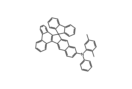 Cc1ccc(C)c(N(c2ccccc2)c2ccc3cc4c(cc3c2)C2(c3ccccc3-c3ccccc32)c2c-4c3ccccc3c3ccccc23)c1